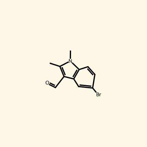 Cc1c(C=O)c2cc(Br)ccc2n1C